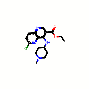 CCOC(=O)c1cnc2ccc(Cl)nc2c1NC1CCN(C)CC1